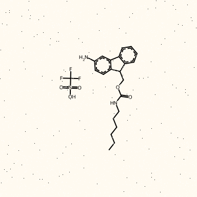 CCCCCCNC(=O)OCC1c2ccccc2-c2cc(N)ccc21.O=S(=O)(O)C(F)(F)F